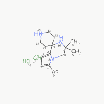 CC(=O)c1ccc2n1CC(C)(C)NC21CCNCC1.Cl.Cl